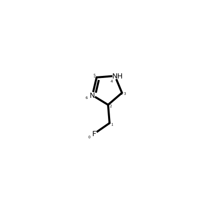 FCC1[CH]N[C]=N1